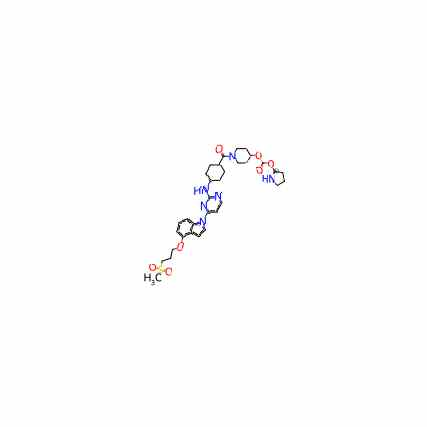 CS(=O)(=O)CCCOc1cccc2c1ccn2-c1ccnc(NC2CCC(C(=O)N3CCC(OC(=O)O[C@H]4CCCN4)CC3)CC2)n1